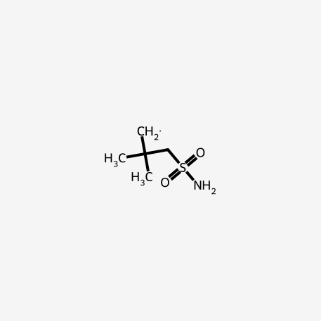 [CH2]C(C)(C)CS(N)(=O)=O